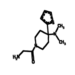 CN(C)C1(c2cccs2)CCN(C(=O)CN)CC1